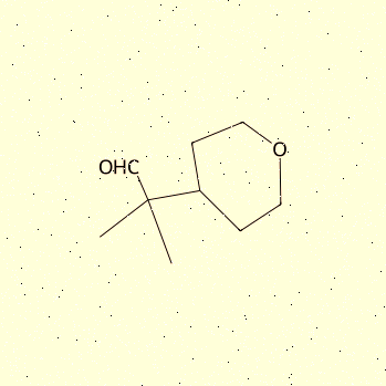 CC(C)(C=O)C1CCOCC1